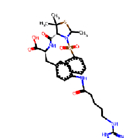 CC1SC(C)(C)[C@@H](C(=O)N[C@@H](Cc2ccc(NC(=O)CCCCNC3=NCCN3)cc2)C(=O)O)N1S(=O)(=O)c1ccccc1